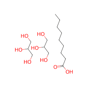 CCCCCCCCC(=O)O.OCC(O)CO.OCC(O)CO